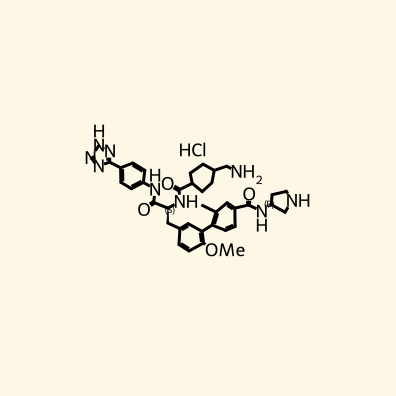 COc1ccc(C[C@H](NC(=O)C2CCC(CN)CC2)C(=O)Nc2ccc(-c3nn[nH]n3)cc2)cc1-c1ccc(C(=O)N[C@@H]2CCNC2)cc1C.Cl